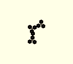 c1ccc(N(c2ccccc2)c2ccc(-c3ccc(N(c4ccccc4)c4ccc5cc(-c6ccc(N(c7ccccc7)c7ccccc7)cc6)ccc5c4)cc3)cc2)cc1